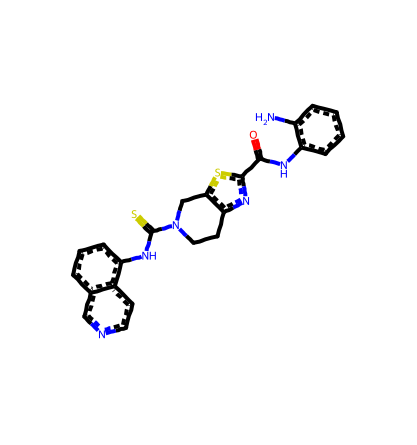 Nc1ccccc1NC(=O)c1nc2c(s1)CN(C(=S)Nc1cccc3cnccc13)CC2